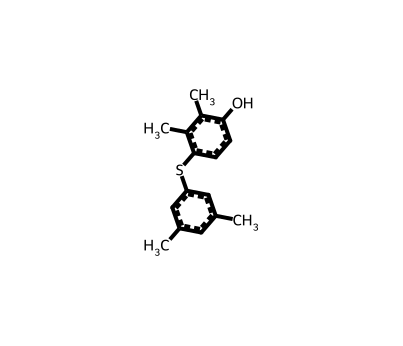 Cc1cc(C)cc(Sc2ccc(O)c(C)c2C)c1